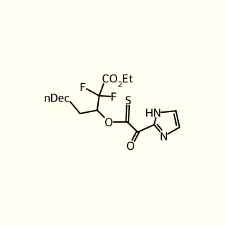 CCCCCCCCCCCC(OC(=S)C(=O)c1ncc[nH]1)C(F)(F)C(=O)OCC